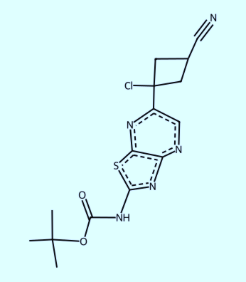 CC(C)(C)OC(=O)Nc1nc2ncc(C3(Cl)CC(C#N)C3)nc2s1